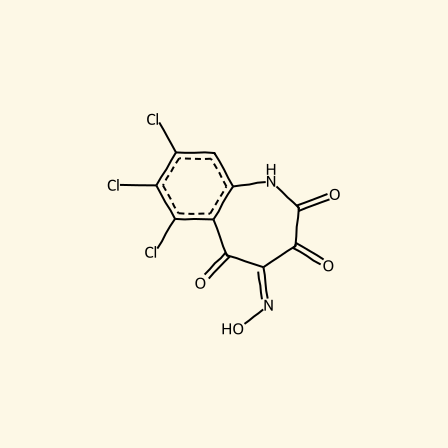 O=C1Nc2cc(Cl)c(Cl)c(Cl)c2C(=O)C(=NO)C1=O